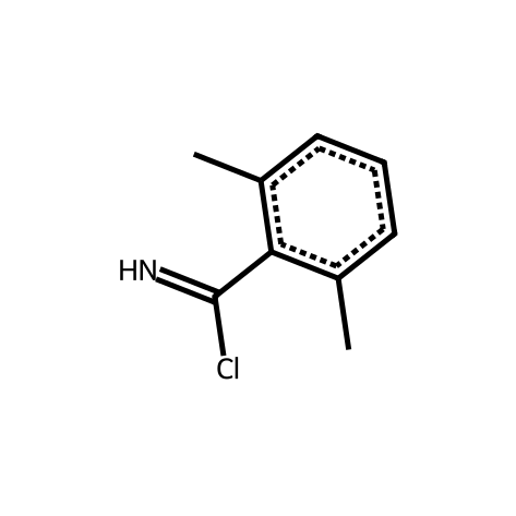 Cc1cccc(C)c1C(=N)Cl